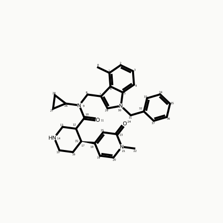 Cc1cccc2c1c(CN(C(=O)C1CNCC[C@@H]1c1ccn(C)c(=O)c1)C1CC1)cn2Cc1ccccc1